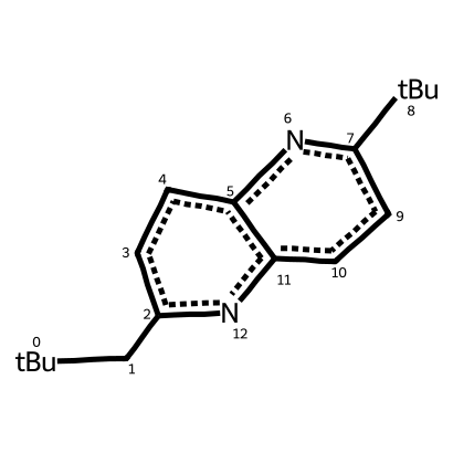 CC(C)(C)Cc1ccc2nc(C(C)(C)C)ccc2n1